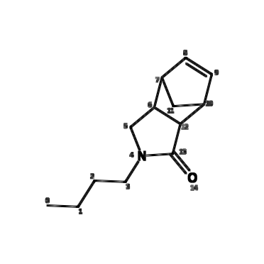 CCCCN1CC2C3C=CC(C3)C2C1=O